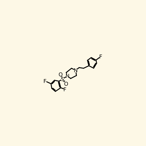 O=S(=O)(c1cc(F)ccc1F)N1CCN(CCc2ccc(F)cc2)CC1